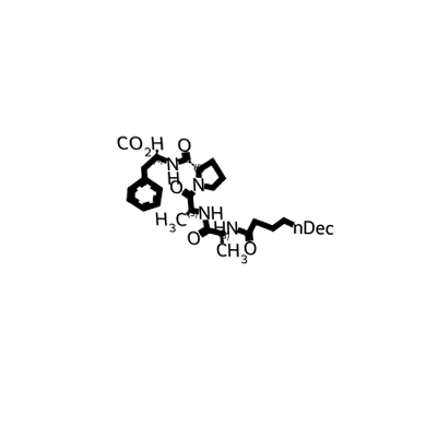 CCCCCCCCCCCCCC(=O)N[C@@H](C)C(=O)N[C@@H](C)C(=O)N1CCC[C@H]1C(=O)N[C@H](Cc1ccccc1)C(=O)O